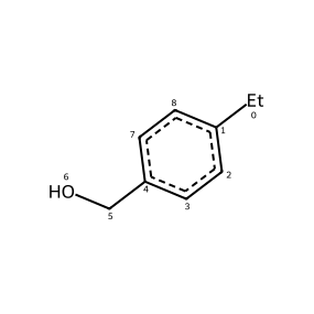 [C]Cc1ccc(CO)cc1